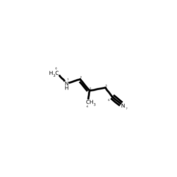 CN/C=C(\C)CC#N